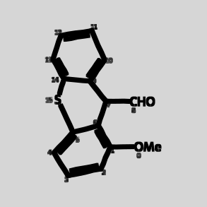 COc1cccc2c1C(C=O)c1ccccc1S2